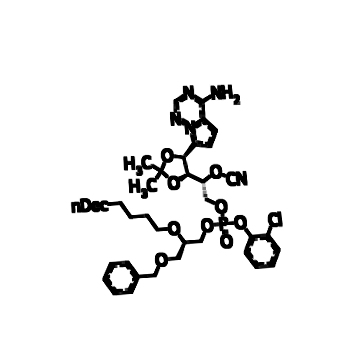 CCCCCCCCCCCCCCO[C@H](COCc1ccccc1)COP(=O)(OC[C@@H](OC#N)[C@H]1OC(C)(C)O[C@H]1c1ccc2c(N)ncnn12)Oc1ccccc1Cl